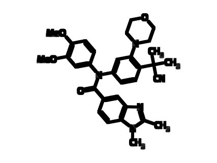 COc1ccc(N(C(=O)c2ccc3c(c2)nc(C)n3C)c2ccc(C(C)(C)C#N)c(N3CCOCC3)c2)cc1OC